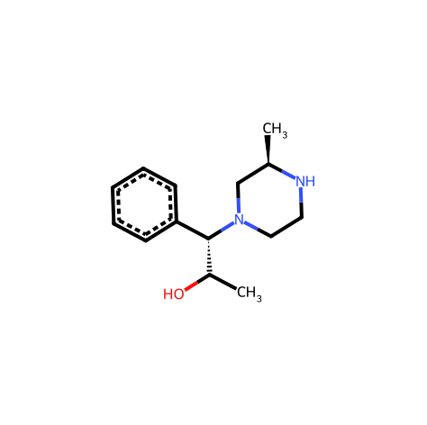 CC(O)[C@H](c1ccccc1)N1CCN[C@H](C)C1